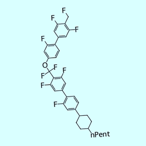 CCCCCC1CCC(c2ccc(-c3cc(F)c(C(F)(F)Oc4ccc(-c5cc(F)c(CF)c(F)c5)c(F)c4)c(F)c3)c(F)c2)CC1